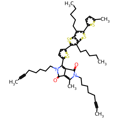 CC#CCCCCCN1C(=O)C2=C(c3ccc(-c4sc5c(CCCCC)c(-c6ccc(C)s6)sc5c4CCCCC)s3)N(CCCCCC#CC)C(=O)C2=C1C